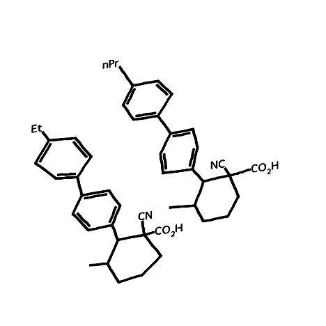 CCCc1ccc(-c2ccc(C3C(C)CCCC3(C#N)C(=O)O)cc2)cc1.CCc1ccc(-c2ccc(C3C(C)CCCC3(C#N)C(=O)O)cc2)cc1